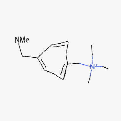 CNCc1ccc([N+](C)(C)C)cc1